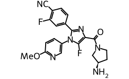 COc1ccc(-n2c(-c3ccc(C#N)c(F)c3)nc(C(=O)N3CC[C@@H](N)C3)c2F)cn1